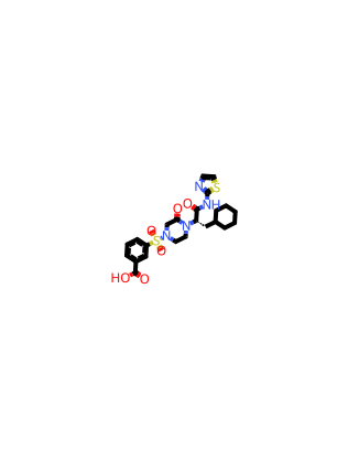 O=C(O)c1cccc(S(=O)(=O)N2CCN([C@@H](CC3CCCCC3)C(=O)Nc3nccs3)C(=O)C2)c1